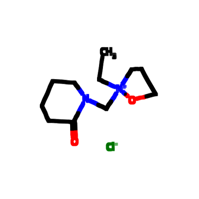 CC[N+]1(CN2CCCCC2=O)CCCO1.[Cl-]